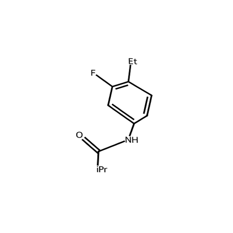 CCc1ccc(NC(=O)C(C)C)cc1F